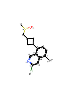 CC(C)c1ccc(C2CC(C[S+](C)[O-])C2)c2cnc(Cl)cc12